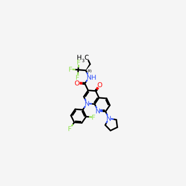 CC[C@@H](NC(=O)c1cn(-c2ccc(F)cc2F)c2nc(N3CCCC3)ccc2c1=O)C(F)(F)F